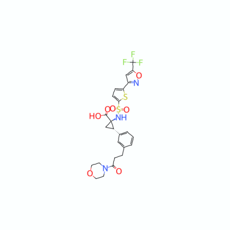 O=C(CCc1cccc([C@@H]2C[C@]2(NS(=O)(=O)c2ccc(-c3cc(C(F)(F)F)on3)s2)C(=O)O)c1)N1CCOCC1